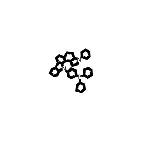 c1ccc(-n2ccc3c4c(ccc5c6ccccc6n(-c6ccc(P(c7ccccc7)c7ccccc7)cc6)c54)ccc32)cc1